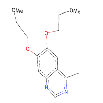 COCCOc1cc2ncnc(C)c2cc1OCCOC